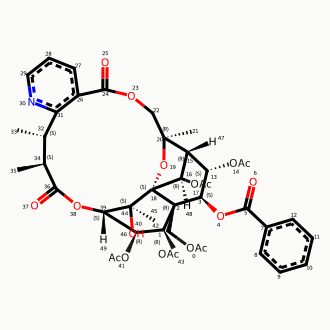 CC(=O)OC[C@]12[C@H](OC(=O)c3ccccc3)[C@@H](OC(C)=O)[C@@H]3[C@@H](OC(C)=O)[C@@]14O[C@@]3(C)COC(=O)c1cccnc1[C@@H](C)[C@H](C)C(=O)O[C@@H]([C@H](OC(C)=O)[C@@H]2OC(C)=O)[C@]4(C)O